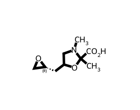 CN1CC(C[C@@H]2CO2)OC1(C)C(=O)O